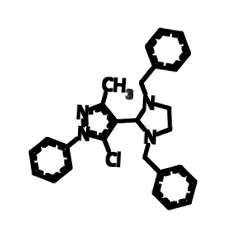 Cc1nn(-c2ccccc2)c(Cl)c1C1N(Cc2ccccc2)CCN1Cc1ccccc1